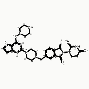 O=C1CCN(N2C(=O)c3ccc(CN4CCN(c5nc(SN6CCOCC6)c6sccc6n5)CC4)cc3C2=O)C(=O)N1